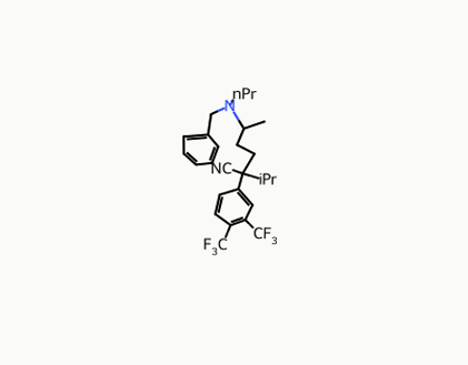 CCCN(Cc1ccccc1)C(C)CCC(C#N)(c1ccc(C(F)(F)F)c(C(F)(F)F)c1)C(C)C